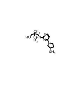 CC(C)(CO)CNc1nccc(N2CC[C@@H](N)C2)n1